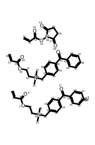 Br.C=CC(=O)OCC[N+](C)(C)Cc1ccc(C(=O)c2ccccc2)cc1.C=CC(=O)OCC[N+](C)(C)Cc1ccc(C(=O)c2ccccc2)cc1.C=CC(=O)ON1C(=O)CCC1=O